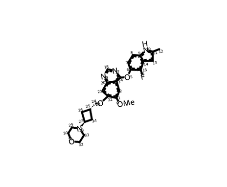 COc1cc2c(Oc3ccc4[nH]c(C)cc4c3F)ncnc2cc1OC[C@H]1C[C@H](N2CCOCC2)C1